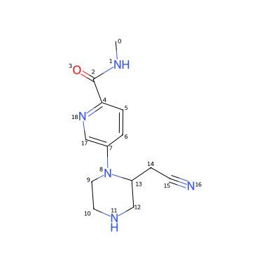 CNC(=O)c1ccc(N2CCNCC2CC#N)cn1